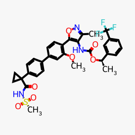 COc1cc(-c2ccc(C3(C(=O)NS(C)(=O)=O)CC3)cc2)ccc1-c1onc(C)c1NC(=O)O[C@H](C)c1cccc(C(F)(F)F)c1